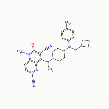 Cc1ccc(N(CC2CCC2)C2CCC(N(C)c3c(C#N)c(=O)n(C)c4ccc(C#N)nc34)CC2)cc1